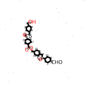 O=CC1CC[CH]([Co](=[O])[CH2]C2CCC(COC(=O)C3CC[CH]([Co](=[O])[CH2]C4CCC(CO)CC4)CC3)CC2)CC1